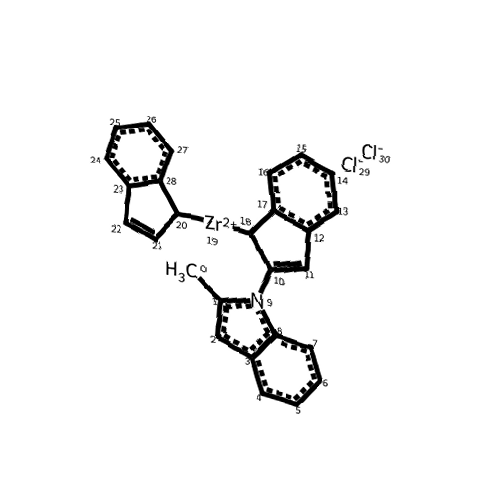 Cc1cc2ccccc2n1C1=Cc2ccccc2[CH]1[Zr+2][CH]1C=Cc2ccccc21.[Cl-].[Cl-]